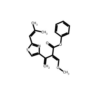 C=C(C(=COC)C(=O)Oc1ccccc1)c1csc(C=C(C)C)n1